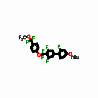 CCCCOc1ccc(-c2cc(F)c(C(F)(F)Oc3ccc(C(F)(F)OC(F)(F)F)cc3)c(F)c2)c(F)c1